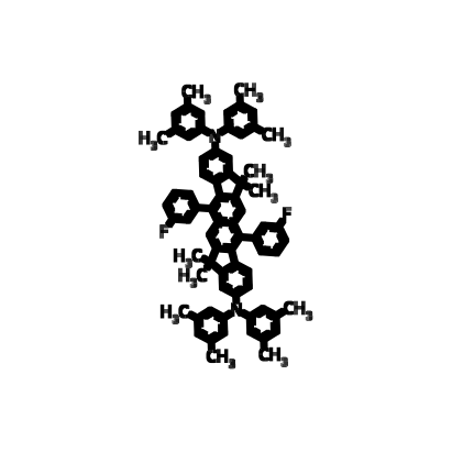 Cc1cc(C)cc(N(c2cc(C)cc(C)c2)c2ccc3c(c2)C(C)(C)c2cc4c(-c5cccc(F)c5)c5c(cc4c(-c4cccc(F)c4)c2-3)C(C)(C)c2cc(N(c3cc(C)cc(C)c3)c3cc(C)cc(C)c3)ccc2-5)c1